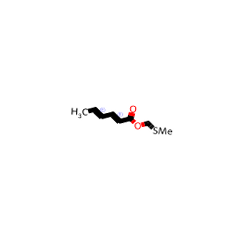 C/C=C/C=C/C(=O)OCSC